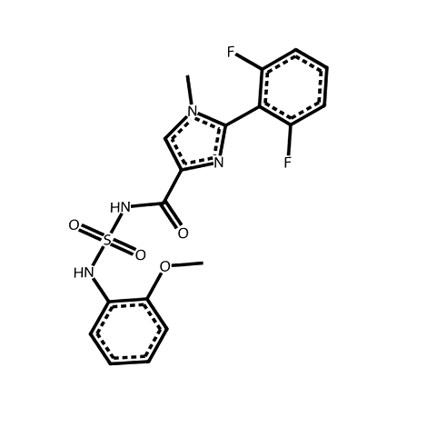 COc1ccccc1NS(=O)(=O)NC(=O)c1cn(C)c(-c2c(F)cccc2F)n1